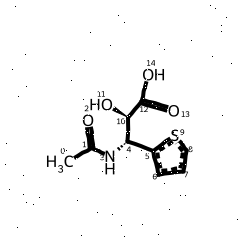 CC(=O)N[C@@H](c1cccs1)[C@@H](O)C(=O)O